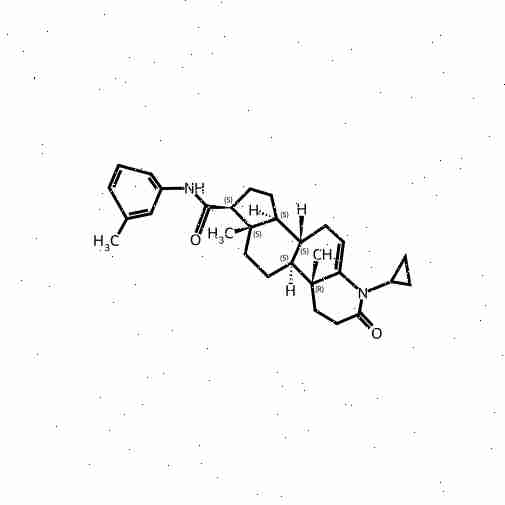 Cc1cccc(NC(=O)[C@H]2CC[C@H]3[C@@H]4CC=C5N(C6CC6)C(=O)CC[C@]5(C)[C@H]4CC[C@]23C)c1